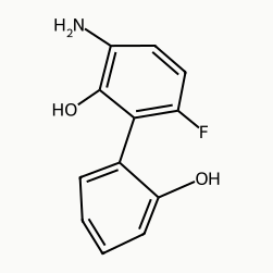 Nc1ccc(F)c(-c2ccccc2O)c1O